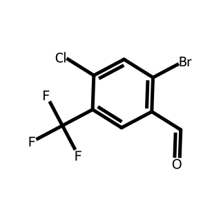 O=Cc1cc(C(F)(F)F)c(Cl)cc1Br